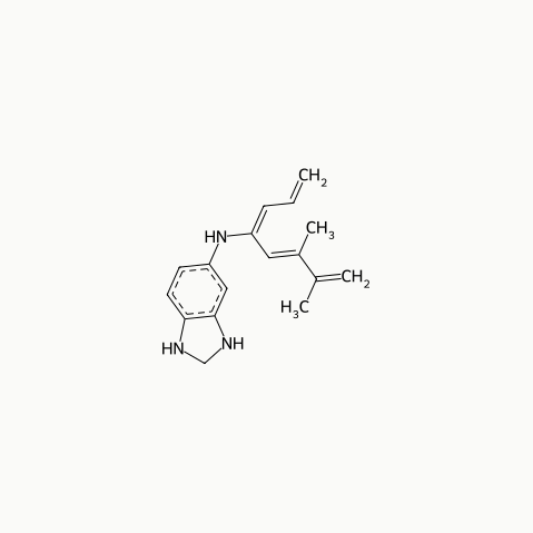 C=C/C=C(\C=C(/C)C(=C)C)Nc1ccc2c(c1)NCN2